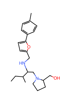 CCC(C)C(CN1CCCC1CO)NCc1ccc(-c2ccc(C)cc2)o1